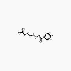 O=C(Cl)CCCCCOC(=O)c1ccccc1